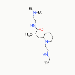 CCN(CC)CCNC(=O)C(C)CC1CCCCN1CCNCC(C)C